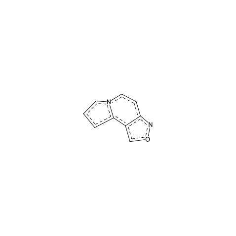 c1cc2c3conc3ccn2c1